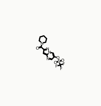 O=C(c1cc2ncc(OS(=O)(=O)C(F)(F)F)cn2n1)N1CCCCC1